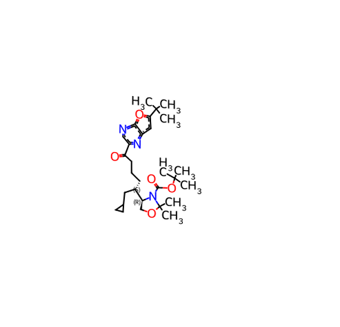 CC(C)(C)OC(=O)N1[C@H]([C@@H](CCCC(=O)c2cnc3oc(C(C)(C)C)cc3n2)CC2CC2)COC1(C)C